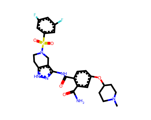 CN1CCC(Oc2ccc(C(=O)Nc3n[nH]c4c3CN(S(=O)(=O)c3cc(F)cc(F)c3)CC4)c(C(N)=O)c2)CC1